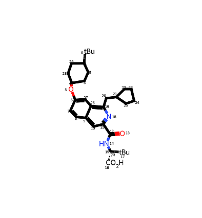 CC(C)(C)C1CCC(Oc2ccc3cc(C(=O)N[C@@H](C(=O)O)C(C)(C)C)nc(CC4CCCC4)c3c2)CC1